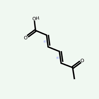 CC(=O)/C=C/C=C/C(=O)O